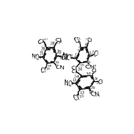 N#Cc1c(Cl)c(Cl)c(Cl)c(C#N)c1Cl.N#Cc1c(Cl)c(Cl)c(Cl)c(C#N)c1Cl.N#Cc1c(Cl)c(Cl)c(Cl)c(C#N)c1Cl